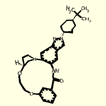 CC(C)(C)[C@H]1CC[C@H](n2cc3cc4c(cc3n2)N2CC[C@@H](C2)OCCOc2cccc(c2)C(=O)N4)CC1